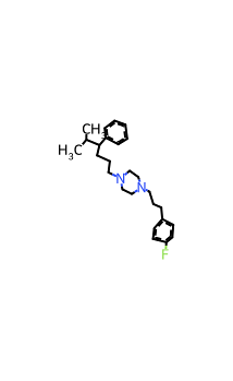 CC(C)C(CCCN1CCN(CCCc2ccc(F)cc2)CC1)c1ccccc1